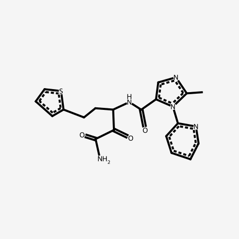 Cc1ncc(C(=O)NC(CCc2cccs2)C(=O)C(N)=O)n1-c1ccccn1